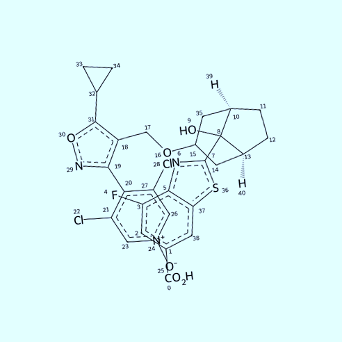 O=C(O)c1cc(F)c2nc(C3(O)[C@@H]4CC[C@H]3CC(OCc3c(-c5c(Cl)c[n+]([O-])cc5Cl)noc3C3CC3)C4)sc2c1